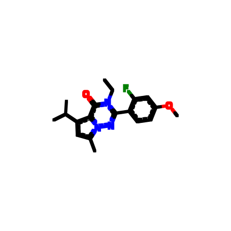 CCn1c(-c2ccc(OC)cc2F)nn2c(C)cc(C(C)C)c2c1=O